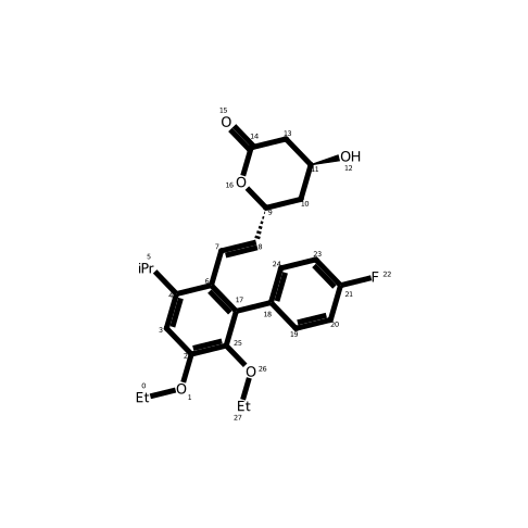 CCOc1cc(C(C)C)c(C=C[C@H]2C[C@H](O)CC(=O)O2)c(-c2ccc(F)cc2)c1OCC